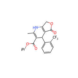 CC1=C(C(=O)OC(C)C)C(c2ccccc2C(F)(F)F)C2=C(COC2=O)N1